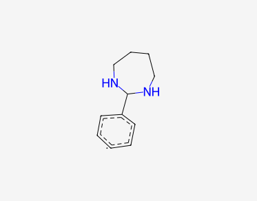 [c]1ccc(C2NCCCCN2)cc1